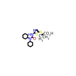 CC(C)(Sc1cnc(NC(=O)N(C2CCCCC2)C2CCCCC2)s1)C(=O)O